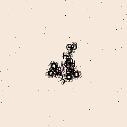 CCCCC[C@@H](/C=C/[C@@H]1[C@H]2C=C([C@H](F)CCCC(=O)OC)O[C@H]2C[C@H]1O[Si](c1ccccc1)(c1ccccc1)C(C)(C)C)O[Si](c1ccccc1)(c1ccccc1)C(C)(C)C